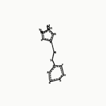 [CH](Cc1ccccc1)c1cn[nH]c1